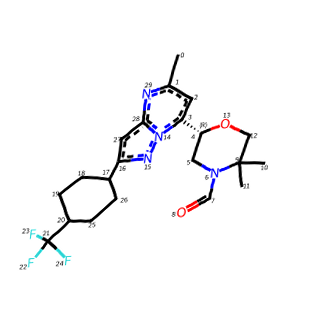 Cc1cc([C@H]2CN(C=O)C(C)(C)CO2)n2nc(C3CCC(C(F)(F)F)CC3)cc2n1